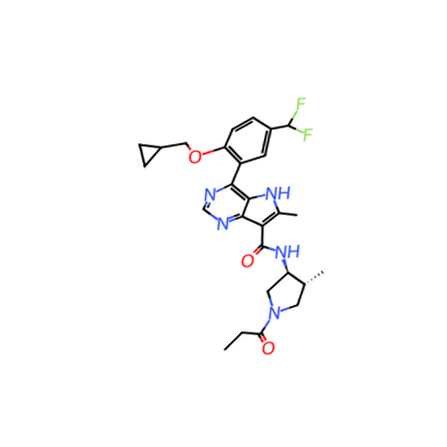 CCC(=O)N1C[C@@H](C)[C@H](NC(=O)c2c(C)[nH]c3c(-c4cc(C(F)F)ccc4OCC4CC4)ncnc23)C1